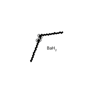 CCCCCCCCCCCCCCCCCC(=O)OOOC(=O)CCCCCCCCCCCCCCCCC.[BaH2]